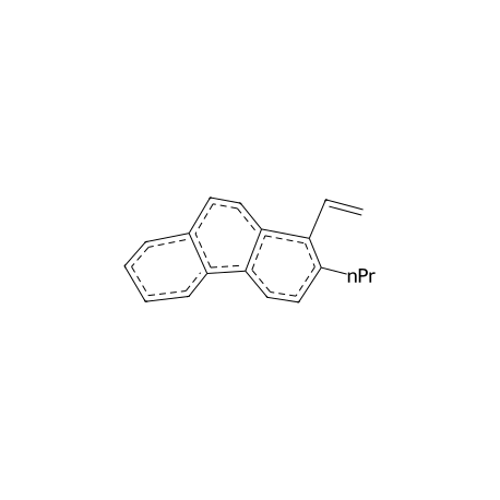 C=Cc1c(CCC)ccc2c1ccc1ccccc12